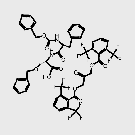 O=C(COC(=O)c1c(C(F)(F)F)cccc1C(F)(F)F)COC(=O)c1c(C(F)(F)F)cccc1C(F)(F)F.O=C(N[C@@H](Cc1ccccc1)C(=O)N[C@@H](COCc1ccccc1)C(=O)O)OCc1ccccc1